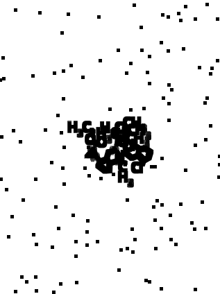 CCOC(=O)[C@H]1C[C@@H]1c1cccc2c1C[C@H](CO[Si](C)(C)C(C)(C)C)N(C(=O)Cc1c(Cl)cccc1Cl)[C@H]2C